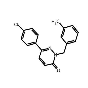 Cc1cccc(Cn2nc(-c3ccc(Cl)cc3)ccc2=O)c1